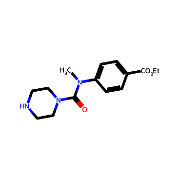 CCOC(=O)c1ccc(N(C)C(=O)N2CCNCC2)cc1